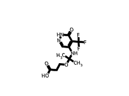 CC(C)(Nc1cn[nH]c(=O)c1C(F)(F)F)OCCC(=O)O